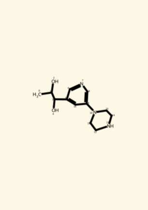 CC(O)C(O)c1cncc(N2CCNCC2)c1